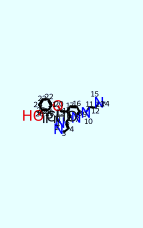 CC(C)n1nccc1-c1nc(N(C)CCN(C)C)ccc1COc1cccc(O)c1C=O